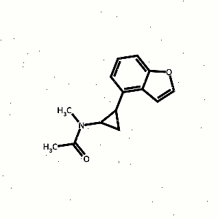 CC(=O)N(C)C1CC1c1cccc2occc12